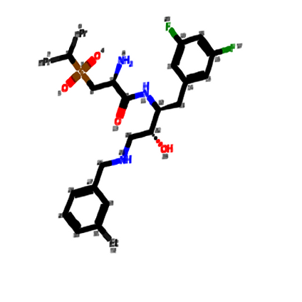 CCCC(CCC)S(=O)(=O)C[C@@H](N)C(=O)N[C@@H](Cc1cc(F)cc(F)c1)[C@H](O)CNCc1cccc(CC)c1